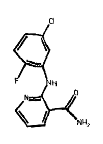 NC(=O)c1cccnc1Nc1cc(Cl)ccc1F